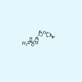 CNC(=O)[C@@H]1CN(Cc2ccc(Oc3ccc(F)cc3)nc2)CCO1